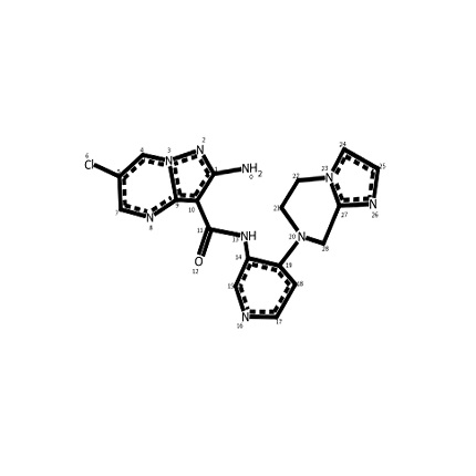 Nc1nn2cc(Cl)cnc2c1C(=O)Nc1cnccc1N1CCn2ccnc2C1